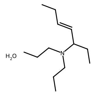 CCC=CC(CC)N(CCC)CCC.O